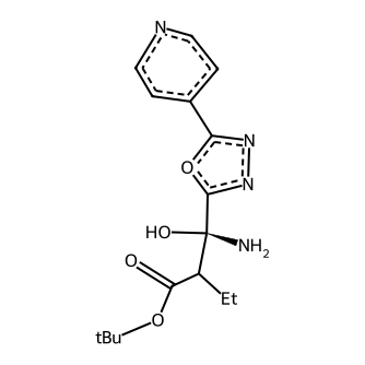 CCC(C(=O)OC(C)(C)C)[C@](N)(O)c1nnc(-c2ccncc2)o1